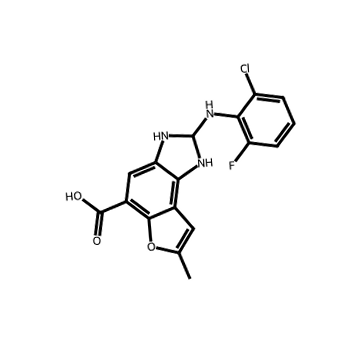 Cc1cc2c3c(cc(C(=O)O)c2o1)NC(Nc1c(F)cccc1Cl)N3